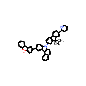 CC1(C)c2cc(-n3c4ccc(-c5ccc6oc7ccccc7c6c5)cc4c4c5ccccc5ccc43)ccc2C2C=CC(c3ccccn3)=CC21